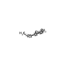 CCCCC1=CC2C=CC(C#Cc3ccc(C#Cc4ccc(F)c(C)c4)c(C)c3)=CC2C1